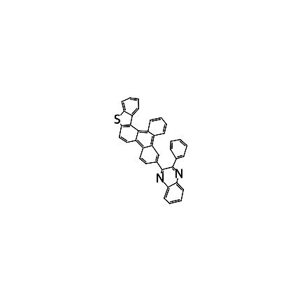 c1ccc(-c2nc3ccccc3nc2-c2ccc3c(c2)c2ccccc2c2c3ccc3sc4ccccc4c32)cc1